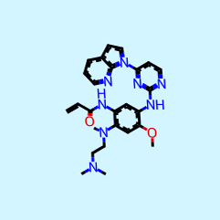 C=CC(=O)Nc1cc(Nc2nccc(-n3ccc4cccnc43)n2)c(OC)cc1N(C)CCN(C)C